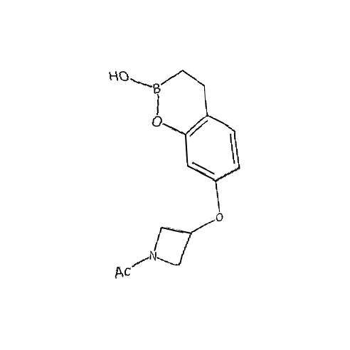 CC(=O)N1CC(Oc2ccc3c(c2)OB(O)CC3)C1